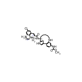 COC(=O)Nc1ccc2c(c1)NCCCCC[C@H](NC(=O)/C=C/c1cc(Cl)ccc1N(N)/C=N\N)c1nc-2c[nH]1